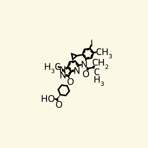 C=C(C)C(=O)N(c1ccc2c(n1)c(O[C@H]1CC[C@H](C(=O)O)CC1)nn2C)c1cc(C)c(I)cc1C1CC1